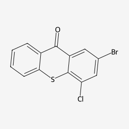 O=c1c2ccccc2sc2c(Cl)cc(Br)cc12